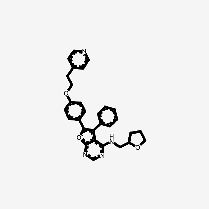 c1ccc(-c2c(-c3ccc(OCCc4ccncc4)cc3)oc3ncnc(NCC4CCCO4)c23)cc1